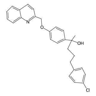 CC(O)(CCCc1ccc(Cl)cc1)c1ccc(OCc2ccc3ccccc3n2)cc1